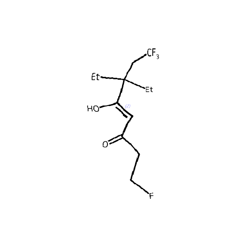 CCC(CC)(CC(F)(F)F)/C(O)=C/C(=O)CCF